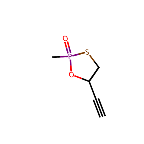 C#CC1CSP(C)(=O)O1